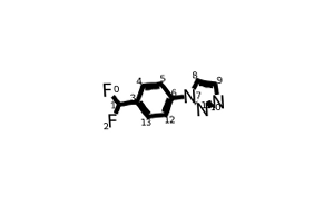 FC(F)c1ccc(-n2ccnn2)cc1